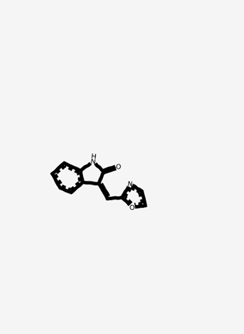 O=C1Nc2ccccc2C1=Cc1ncco1